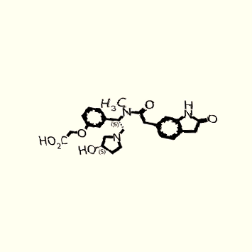 CN(C(=O)Cc1ccc2c(c1)NC(=O)C2)[C@H](CN1CC[C@H](O)C1)c1cccc(OCC(=O)O)c1